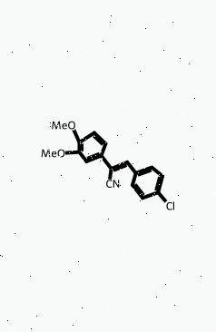 COc1ccc(C(C#N)=Cc2ccc(Cl)cc2)cc1OC